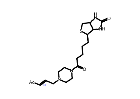 CC(=O)/C=C/CN1CCN(C(=O)CCCCC2SCC3NC(=O)NC32)CC1